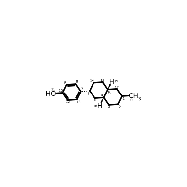 CC1CC[C@@H]2C[C@H](c3ccc(O)cc3)CC[C@@H]2C1